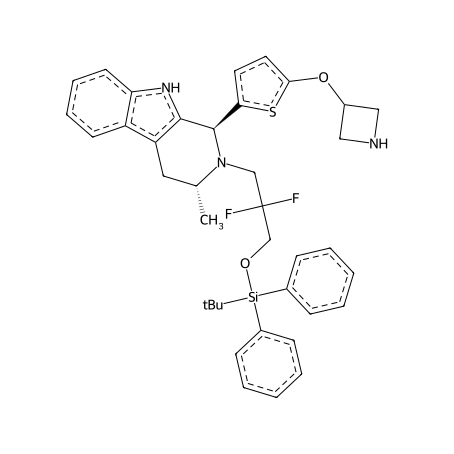 C[C@@H]1Cc2c([nH]c3ccccc23)[C@@H](c2ccc(OC3CNC3)s2)N1CC(F)(F)CO[Si](c1ccccc1)(c1ccccc1)C(C)(C)C